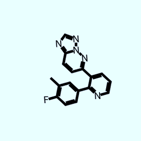 Cc1cc(-c2ncccc2-c2ccc3ncnn3n2)ccc1F